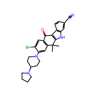 CC1(C)c2cc(N3CCC(N4CCCC4)CC3)c(Br)cc2C(=O)c2c1[nH]c1cc(C#N)ccc21